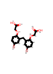 O=C(O)COc1ccc(Br)cc1Cc1cc(Br)ccc1OCC(=O)O